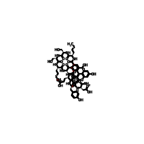 CSCC[C@H](NC(=O)c1ccc(-c2c3ccc(=O)cc-3oc3cc(O)ccc23)c(C(=O)O)c1)C(=O)N[C@@H](CO)C(=O)N[C@@H](CO)C(=O)N[C@@H](CCSC)C(=O)N[C@@H](CC(N)=O)C(=O)N1CCC[C@H]1C(=O)N[C@@H](CCC(=O)O)C(=O)N[C@@H](Cc1ccc(O)cc1)C(=O)N[C@@H](CC(=O)O)C(N)=O